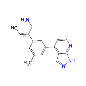 Cc1cc(/C(=C/C#N)CN)cc(-c2ccnc3[nH]ncc23)c1